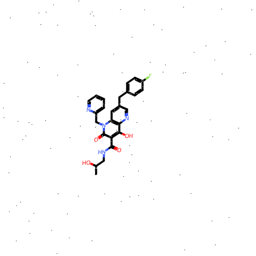 CC(O)CNC(=O)c1c(O)c2ncc(Cc3ccc(F)cc3)cc2n(Cc2ccccn2)c1=O